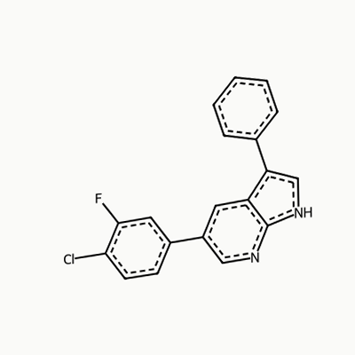 Fc1cc(-c2cnc3[nH]cc(-c4ccccc4)c3c2)ccc1Cl